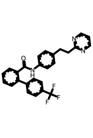 O=C(Nc1ccc(CCc2ncccn2)cc1)c1ccccc1-c1ccc(C(F)(F)F)cc1